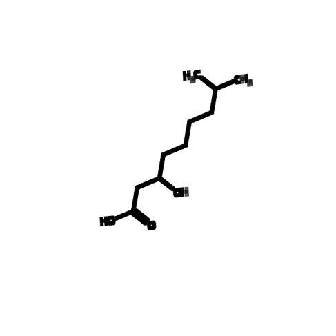 CC(C)CCCCC(O)CC(=O)O